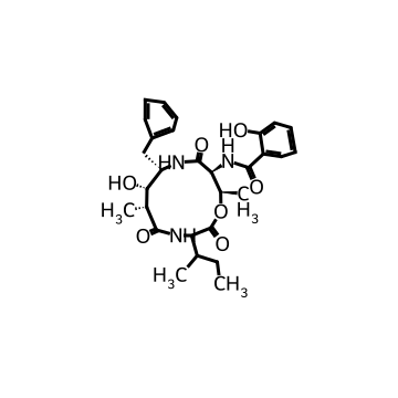 CCC(C)C1NC(=O)[C@H](C)[C@H](O)[C@H](Cc2ccccc2)NC(=O)[C@@H](NC(=O)c2ccccc2O)[C@@H](C)OC1=O